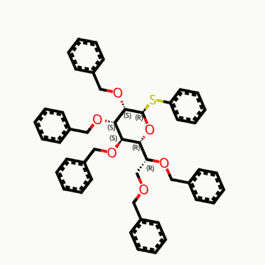 c1ccc(COC[C@@H](OCc2ccccc2)[C@H]2O[C@H](Sc3ccccc3)[C@@H](OCc3ccccc3)[C@@H](OCc3ccccc3)[C@@H]2OCc2ccccc2)cc1